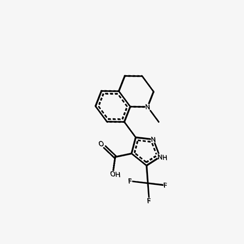 CN1CCCc2cccc(-c3n[nH]c(C(F)(F)F)c3C(=O)O)c21